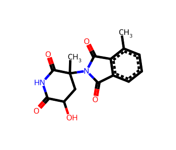 Cc1cccc2c1C(=O)N(C1(C)CC(O)C(=O)NC1=O)C2=O